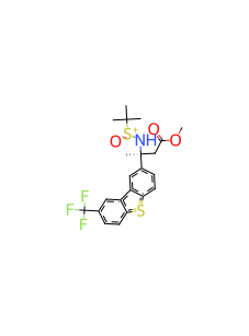 COC(=O)C[C@](C)(N[S+]([O-])C(C)(C)C)c1ccc2sc3ccc(C(F)(F)F)cc3c2c1